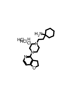 Cl.Cl.Cl.NC1(CCN2CCN(c3nccc4c3CCO4)CC2)CCCCC1